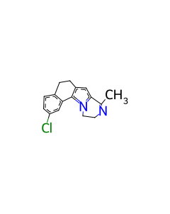 CC1=NCCn2c1cc1c2-c2cc(Cl)ccc2CC1